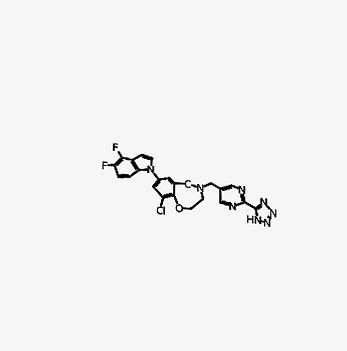 Fc1ccc2c(ccn2-c2cc(Cl)c3c(c2)CN(Cc2cnc(-c4nnn[nH]4)nc2)CCO3)c1F